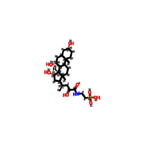 C[C@H](CC(O)C(=O)NCCS(=O)(=O)O)C1C[C@H](O)[C@H]2C3C(CCC12C)C1(C)CC[C@@H](O)CC1C[C@H]3O